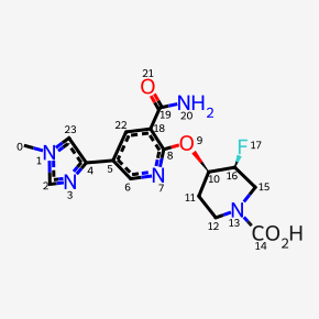 Cn1cnc(-c2cnc(O[C@@H]3CCN(C(=O)O)C[C@@H]3F)c(C(N)=O)c2)c1